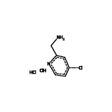 Cl.Cl.NCc1cc(Cl)ccn1